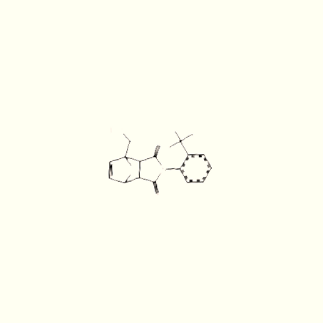 O=C1C2C3C=CC(CO)(O3)C2C(=O)N1c1ccccc1C(F)(F)F